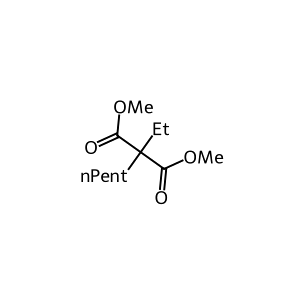 CCCCCC(CC)(C(=O)OC)C(=O)OC